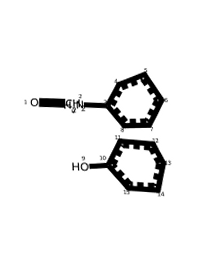 C=O.Nc1ccccc1.Oc1ccccc1